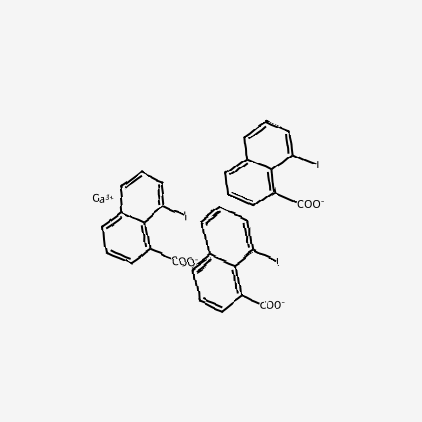 O=C([O-])c1cccc2cccc(I)c12.O=C([O-])c1cccc2cccc(I)c12.O=C([O-])c1cccc2cccc(I)c12.[Ga+3]